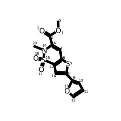 COC(=O)C1=Cc2sc(-c3ccco3)cc2S(=O)(=O)N1C